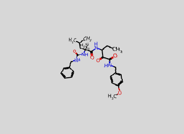 CCC(NC(=O)[C@@]([SiH3])(CC(C)C)NC(=O)NCc1ccccc1)C(=O)C(=O)NCc1ccc(OC)cc1